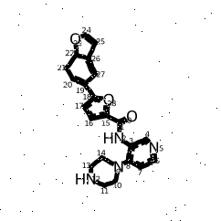 O=C(Nc1cnccc1N1CCNCC1)c1ccc(C2=CCC3OC=CC3=C2)o1